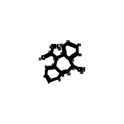 NC(=O)N1C2=CC=CCC2=CC(O)c2ccccc21